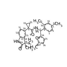 Cc1ccc(C(NC(=O)C2(c3ccc4c(c3)C(C)(C)C(=O)N4)CC2)c2ccc(C)o2)c(C)c1